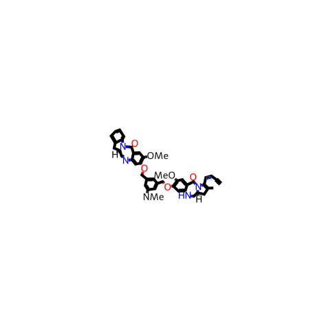 C#C/C=C\C1=C(C)C[C@H]2CNc3cc(OCc4cc(COc5cc6c(cc5OC)C(=O)N5c7ccccc7C[C@H]5C=N6)cc(NC)c4)c(OC)cc3C(=O)N12